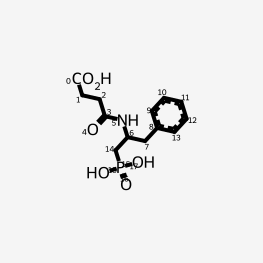 O=C(O)CCC(=O)NC(Cc1ccccc1)CP(=O)(O)O